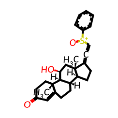 C[C@]12CCC(=O)C=C1CC[C@@H]1[C@@H]2[C@@H](O)C[C@]2(C)C(=C=C[S+]([O-])c3ccccc3)CC[C@@H]12